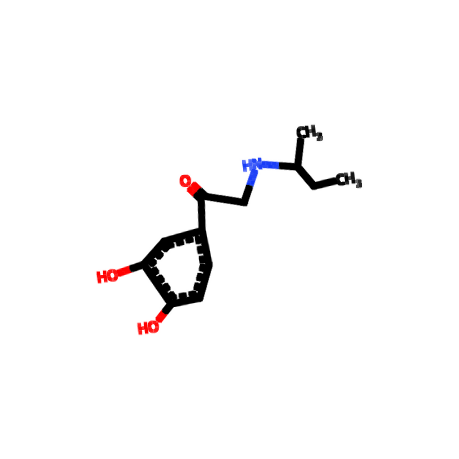 CCC(C)NCC(=O)c1ccc(O)c(O)c1